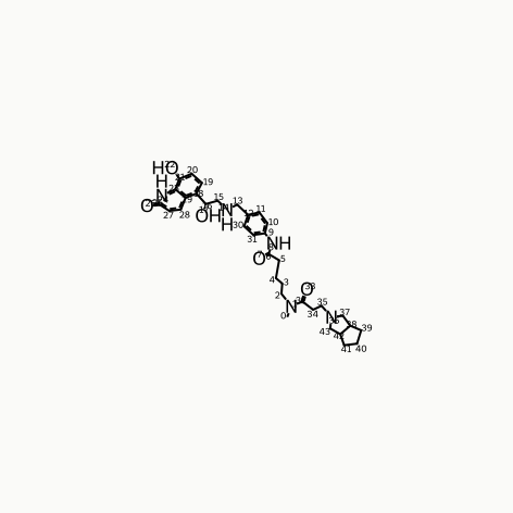 CN(CCCCC(=O)Nc1ccc(CNC[C@H](O)c2ccc(O)c3[nH]c(=O)ccc23)cc1)C(=O)CCN1CC2CCCC2C1